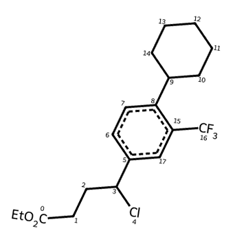 CCOC(=O)CCC(Cl)c1ccc(C2CCCCC2)c(C(F)(F)F)c1